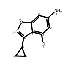 Nc1cc(Cl)c2c(C3CC3)noc2c1